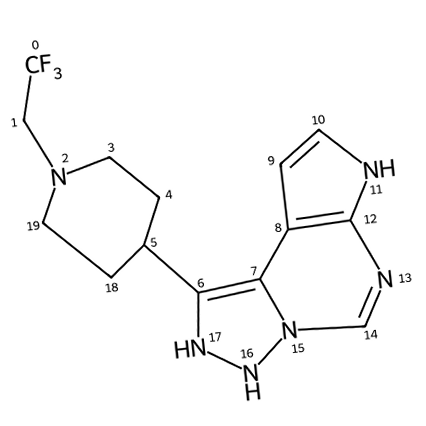 FC(F)(F)CN1CCC(C2=C3c4cc[nH]c4N=CN3NN2)CC1